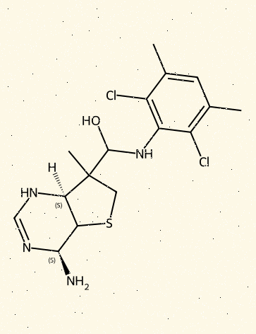 Cc1cc(C)c(Cl)c(NC(O)C2(C)CSC3[C@H]2NC=N[C@@H]3N)c1Cl